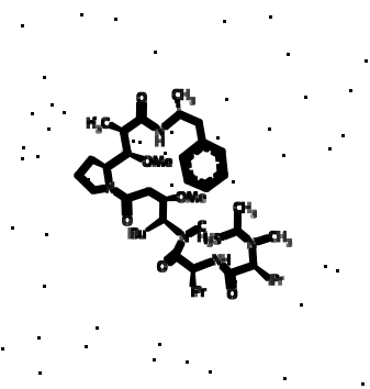 CC[C@H](C)[C@@H]([C@@H](CC(=O)N1CCC[C@H]1[C@H](OC)[C@@H](C)C(=O)N[C@H](C)Cc1ccccc1)OC)N(C)C(=O)[C@@H](NC(=O)[C@H](C(C)C)N(C)C(C)S)C(C)C